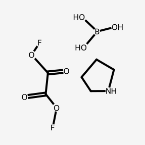 C1CCNC1.O=C(OF)C(=O)OF.OB(O)O